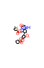 COc1cc(OS(=O)(=O)c2ccccc2)ccc1-c1ccc2c(c1COC(=O)c1ccc(C)s1)N(C)C(=O)C(C)(C)N2